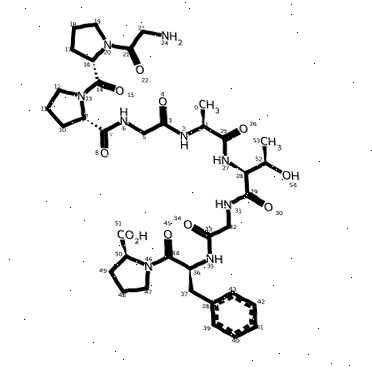 C[C@H](NC(=O)CNC(=O)[C@@H]1CCCN1C(=O)[C@@H]1CCCN1C(=O)CN)C(=O)N[C@H](C(=O)NCC(=O)N[C@@H](Cc1ccccc1)C(=O)N1CCC[C@H]1C(=O)O)[C@@H](C)O